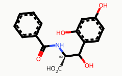 O=C(N[C@H](C(=O)O)C(O)c1ccc(O)cc1O)c1ccccc1